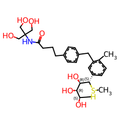 Cc1ccc([C@H]2[C@H](O)[C@H](O)[C@H](O)C[SH]2C)cc1Cc1ccc(CCCC(=O)NC(CO)(CO)CO)cc1